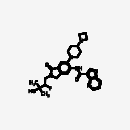 CC(C)(O)C(F)CN1Cc2cc(NC(=O)c3cnn4cccnc34)c(N3CCC(N4CCC4)CC3)cc2C1=O